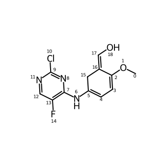 COC1=CC=C(Nc2nc(Cl)ncc2F)C/C1=C/O